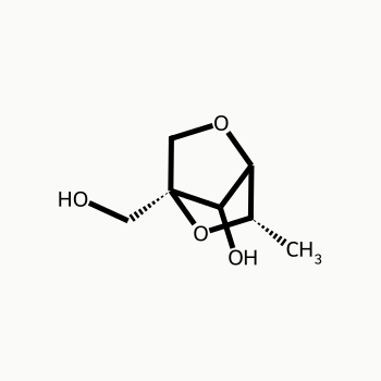 C[C@@H]1O[C@@]2(CO)COC1C2O